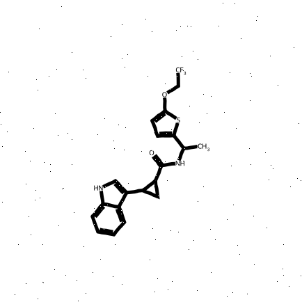 CC(NC(=O)C1CC1c1c[nH]c2ccccc12)c1ccc(OCC(F)(F)F)s1